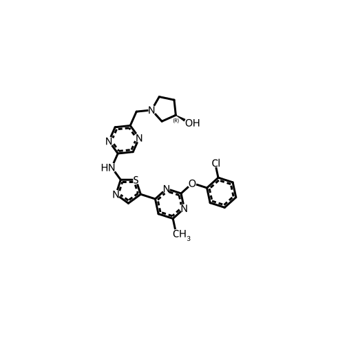 Cc1cc(-c2cnc(Nc3cnc(CN4CC[C@@H](O)C4)cn3)s2)nc(Oc2ccccc2Cl)n1